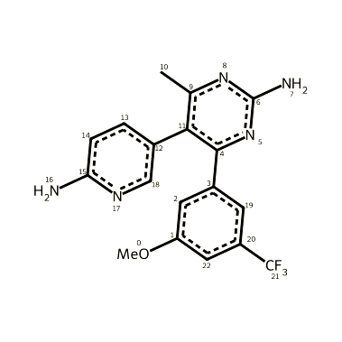 COc1cc(-c2nc(N)nc(C)c2-c2ccc(N)nc2)cc(C(F)(F)F)c1